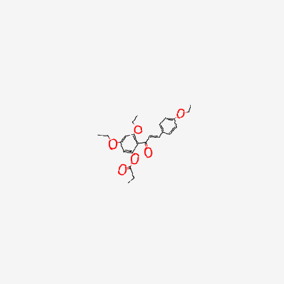 CCOc1ccc(C=CC(=O)c2c(OCC)cc(OCC)cc2OC(=O)CC)cc1